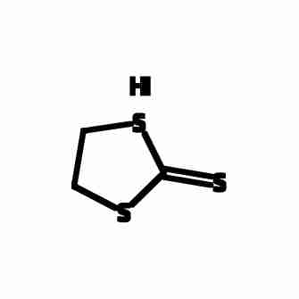 I.S=C1SCCS1